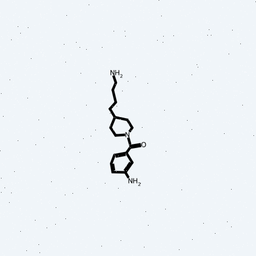 NCCCCC1CCN(C(=O)c2cccc(N)c2)CC1